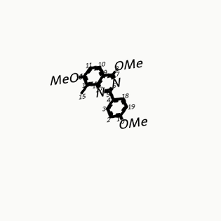 COc1ccc(-c2nc(OC)c3ccc(OC)c(C)c3n2)cc1